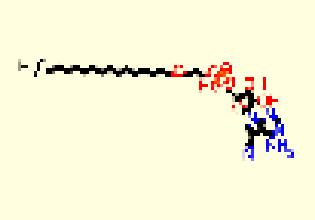 CCCCCCCCCCCCCCCCOCCCOP(=O)(O)OC[C@H]1O[C@@H](n2cc(C#N)c3c(N)ncnc32)[C@H](O)[C@H]1O